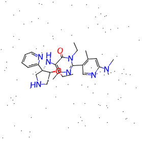 CCO[C@H]1CNC[C@@]1(Nc1c(C)nc(-c2cnc(N(C)C)cc2C)n(CC)c1=O)c1ccccn1